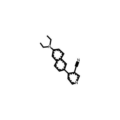 CCN(CC)c1ccc2cc(-c3ccncc3C#N)ccc2c1